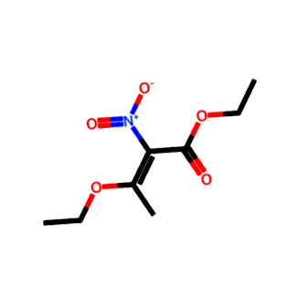 CCOC(=O)/C(=C(\C)OCC)[N+](=O)[O-]